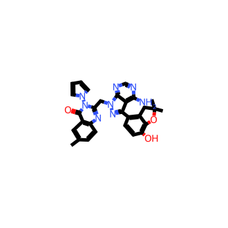 Cc1ccc2nc(Cn3nc(-c4ccc(O)c5c4CC(C)(C)O5)c4c(N)ncnc43)n(-n3cccc3)c(=O)c2c1